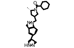 C[C@H]1CC(Cn2ncc3cc(-c4cn[nH]c4)ccc32)CN1C(=O)C1CCCCC1